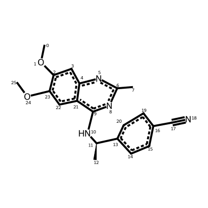 COc1cc2nc(C)nc(N[C@H](C)c3ccc(C#N)cc3)c2cc1OC